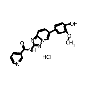 COc1cc(-c2ccc3nc(NC(=O)c4cccnc4)nn3c2)ccc1O.Cl